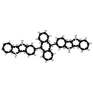 c1ccc2c(c1)sc1c3ccc(-c4c5ccccc5c(-c5ccc6c(c5)sc5c7ccccc7sc65)c5ccccc45)cc3sc21